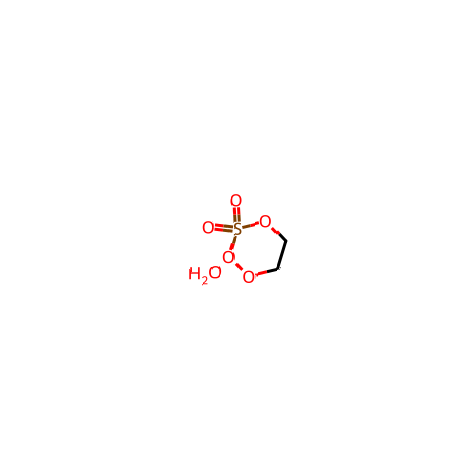 O.O=S1(=O)OCCOO1